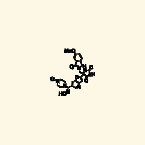 CCN1CCN(C(=NO)c2cnc3cc([C@]4(CN5Cc6ccc(OC)cc6C5=O)NC(=O)NC4=O)oc3c2)CC1